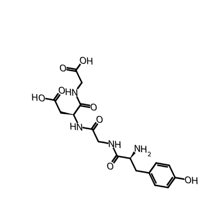 N[C@@H](Cc1ccc(O)cc1)C(=O)NCC(=O)N[C@@H](CC(=O)O)C(=O)NCC(=O)O